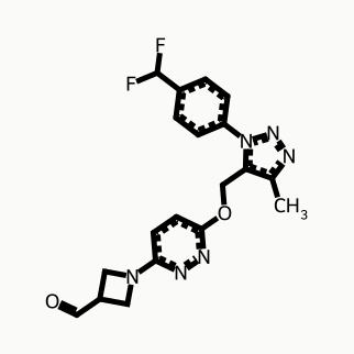 Cc1nnn(-c2ccc(C(F)F)cc2)c1COc1ccc(N2CC(C=O)C2)nn1